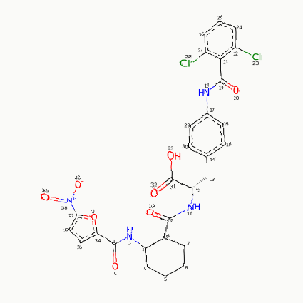 O=C(NC1CCCCC1C(=O)N[C@@H](Cc1ccc(NC(=O)c2c(Cl)cccc2Cl)cc1)C(=O)O)c1ccc([N+](=O)[O-])o1